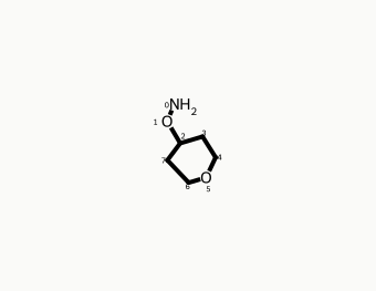 NOC1CCOCC1